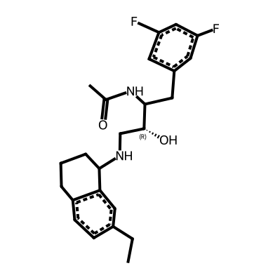 CCc1ccc2c(c1)C(NC[C@@H](O)C(Cc1cc(F)cc(F)c1)NC(C)=O)CCC2